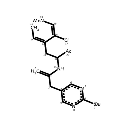 C=C(Cc1cnc(C(C)(C)C)nc1)NC(CC(=C/C)/C(Cl)=C\NC)C(C)=O